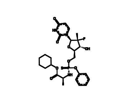 C[C@H](N[P@](=S)(OC[C@H]1O[C@@H](n2ccc(=O)[nH]c2=O)[C@](C)(F)[C@@H]1O)Oc1ccccc1)C(=O)OC1CCCCC1